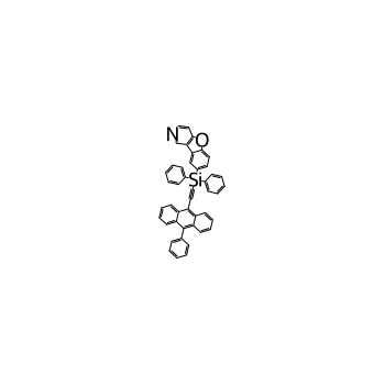 C(#C[Si](c1ccccc1)(c1ccccc1)c1ccc2oc3ccncc3c2c1)c1c2ccccc2c(-c2ccccc2)c2ccccc12